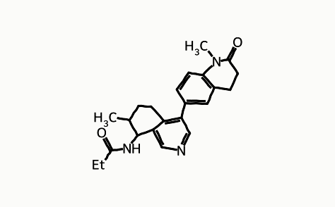 CCC(=O)NC1c2cncc(-c3ccc4c(c3)CCC(=O)N4C)c2CCC1C